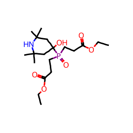 CCOC(=O)CCP(=O)(CCC(=O)OCC)C1(O)CC(C)(C)NC(C)(C)C1